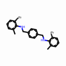 Cc1cccc(C(C)C)c1NCc1ccc(CNc2c(C)cccc2C(C)C)cc1